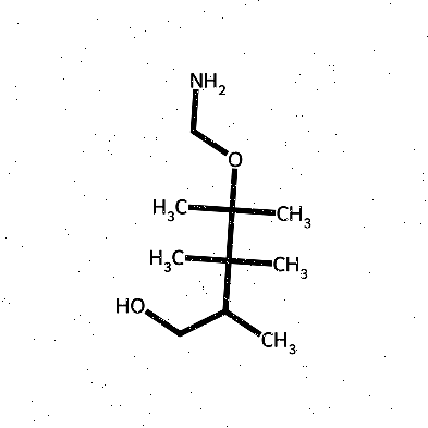 CC(CO)C(C)(C)C(C)(C)OCN